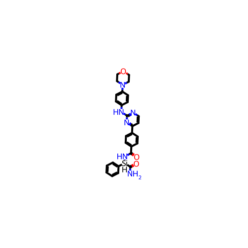 NC(=O)[SiH](NC(=O)c1ccc(-c2ccnc(Nc3ccc(N4CCOCC4)cc3)n2)cc1)c1ccccc1